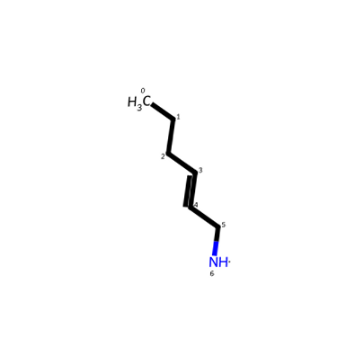 CCC/C=C/C[NH]